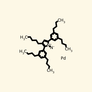 CCCCCC1=C(c2cc(CCCC)cc(CCCC)c2)[N+](=[N-])C(c2cc(CCCC)cc(CCCC)c2)=C1.[Pd]